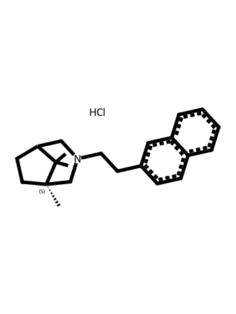 CC1(C)C2CC[C@]1(C)CN(CCc1ccc3ccccc3c1)C2.Cl